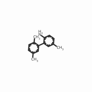 Cc1ccc(C)c(-c2cc(C)ccc2N)c1